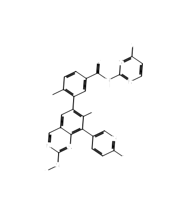 Cc1ccc(C(=O)Nc2nccc(C(F)(F)F)n2)cc1-c1cc2cnc(NC(C)C)nc2c(-c2ccc(F)nc2)c1O